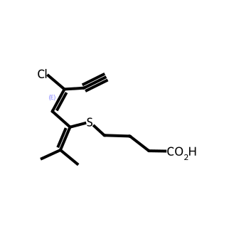 C#C/C(Cl)=C\C(SCCCC(=O)O)=C(C)C